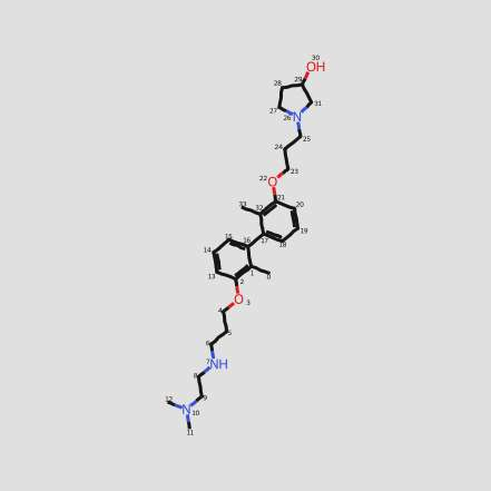 Cc1c(OCCCNCCN(C)C)cccc1-c1cccc(OCCCN2CCC(O)C2)c1C